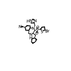 N#Cc1ccc2c(c1)CNC(Cc1ccccc1)C(S(=O)(=O)c1ccc(Br)s1)N2Cc1c[nH]cn1